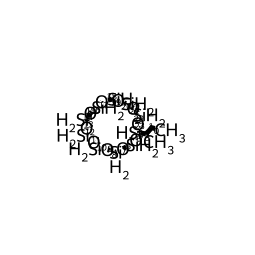 CCC(C)[SiH]1O[SiH2]O[SiH2]O[SiH2]O[SiH2]O[SiH2]O[SiH2]O[SiH2]O[SiH2]O[SiH2]O1